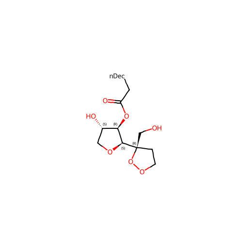 CCCCCCCCCCCC(=O)O[C@@H]1[C@@H](O)CO[C@@H]1[C@]1(CO)CCOO1